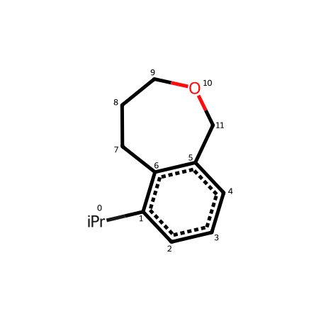 CC(C)c1cccc2c1CCCOC2